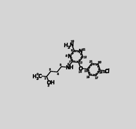 CC(O)CCCNc1nc(N)ncc1Oc1ccc(Cl)cc1